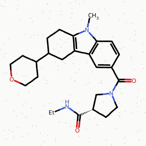 CCNC(=O)[C@H]1CCN(C(=O)c2ccc3c(c2)c2c(n3C)CCC(C3CCOCC3)C2)C1